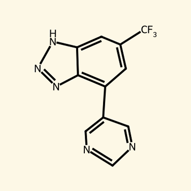 FC(F)(F)c1cc(-c2cncnc2)c2nn[nH]c2c1